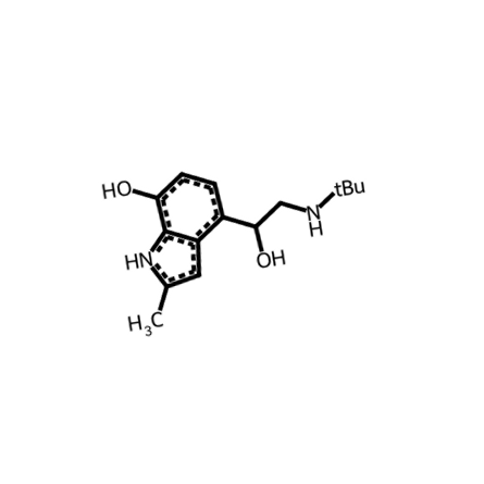 Cc1cc2c(C(O)CNC(C)(C)C)ccc(O)c2[nH]1